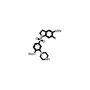 COc1ccc(S(=O)(=O)N2CCc3cc(SC)c(I)cc32)cc1N1CCNCC1